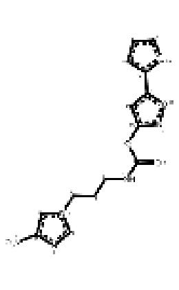 O=C(NCCCn1cnc([N+](=O)[O-])c1)Oc1cc(-c2ccco2)on1